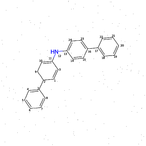 C1=CC(c2ccccc2)CC=C1Nc1ccc(-c2ccccc2)cc1